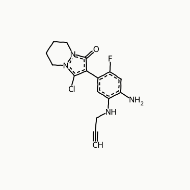 C#CCNc1cc(-c2c(Cl)n3n(c2=O)CCCC3)c(F)cc1N